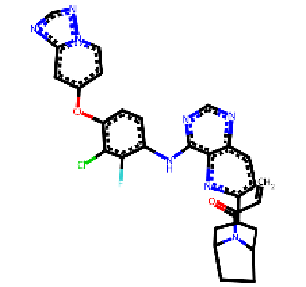 C=CC(=O)N1C2CCC1CC(c1ccc3ncnc(Nc4ccc(Oc5ccn6ncnc6c5)c(Cl)c4F)c3n1)C2